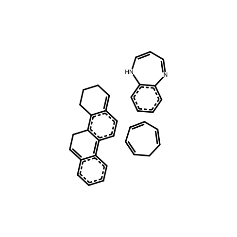 C1=CC=CCC=C1.C1=CNc2ccccc2N=C1.C1=c2ccc3c(c2CCC1)CC=c1ccccc1=3